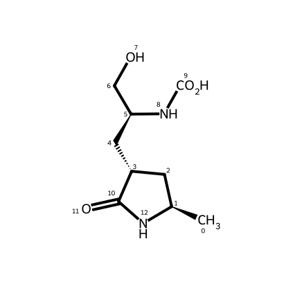 C[C@@H]1C[C@@H](C[C@@H](CO)NC(=O)O)C(=O)N1